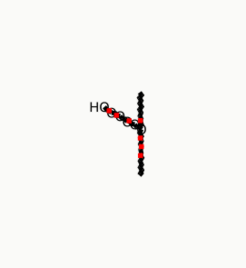 CCCCCCCCCCCCCCCCOC(CCCCCCCCCCCC)COCCOCCOCCOCCO